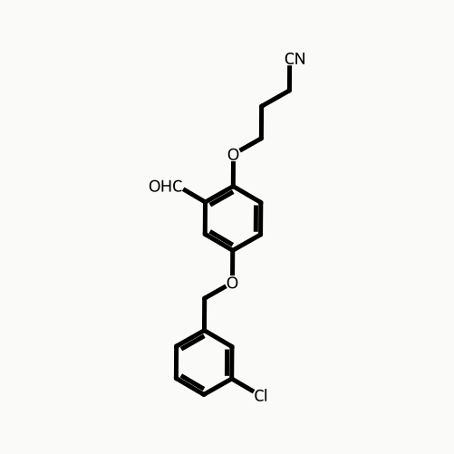 N#CCCCOc1ccc(OCc2cccc(Cl)c2)cc1C=O